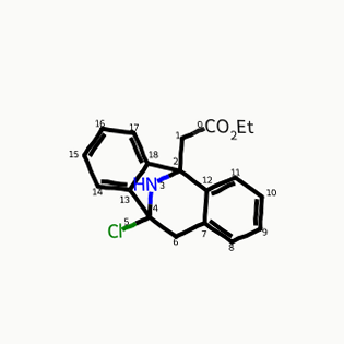 CCOC(=O)CC12NC(Cl)(Cc3ccccc31)c1ccccc12